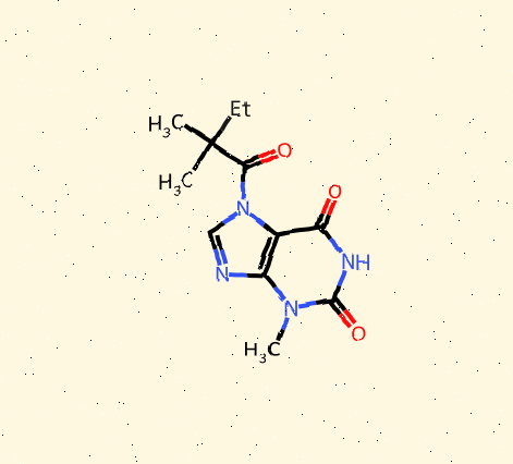 CCC(C)(C)C(=O)n1cnc2c1c(=O)[nH]c(=O)n2C